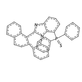 S=P(c1ccccc1)(c1ccccc1)c1cccc2nc3c4c5ccccc5ccc4c4ccccc4n3c12